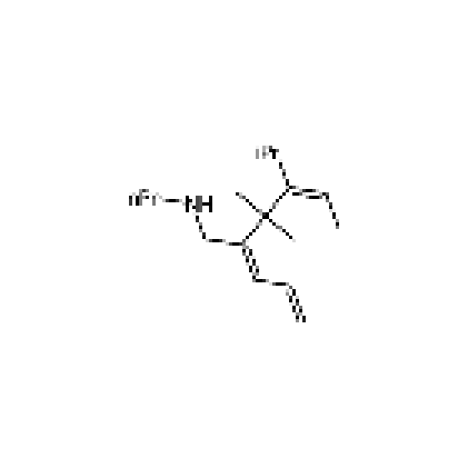 C=C/C=C(/CNCCC)C(C)(C)/C(=C\C)C(C)C